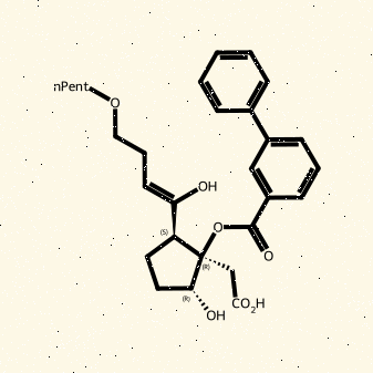 CCCCCOCCC=C(O)[C@@H]1CC[C@@H](O)[C@]1(CC(=O)O)OC(=O)c1cccc(-c2ccccc2)c1